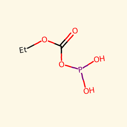 CCOC(=O)OP(O)O